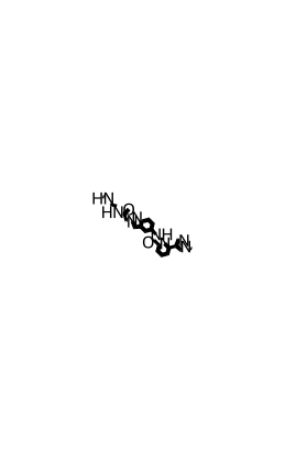 CNCCNC(=O)Cn1cc2cc(NC(=O)c3cccc(-c4cnn(C)c4)n3)ccc2n1